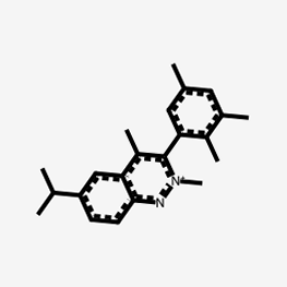 Cc1cc(C)c(C)c(-c2c(C)c3cc(C(C)C)ccc3n[n+]2C)c1